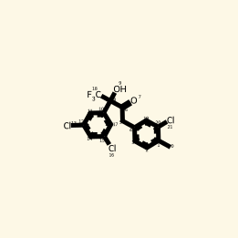 Cc1ccc(CC(=O)C(O)(c2cc(Cl)cc(Cl)c2)C(F)(F)F)cc1Cl